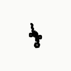 CCCCCN1CCN(C(=O)OCc2ccccc2)CC1=O